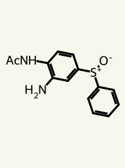 CC(=O)Nc1ccc([S+]([O-])c2ccccc2)cc1N